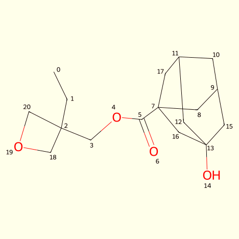 CCC1(COC(=O)C23CC4CC(CC(O)(C4)C2)C3)COC1